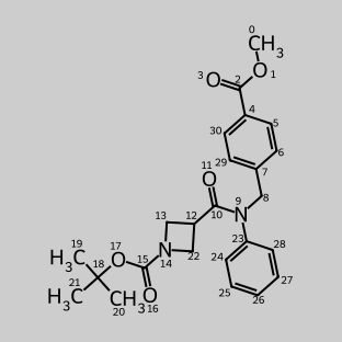 COC(=O)c1ccc(CN(C(=O)C2CN(C(=O)OC(C)(C)C)C2)c2ccccc2)cc1